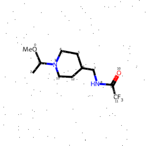 COC(C)N1CCC(CNC(=O)C(F)(F)F)CC1